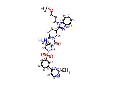 COCCCn1c(C2CCCN(C(=O)[C@@H]3CN(S(=O)(=O)c4cccc(-c5ccnc(C)n5)c4)C[C@H]3N)C2)nc2ccccc21